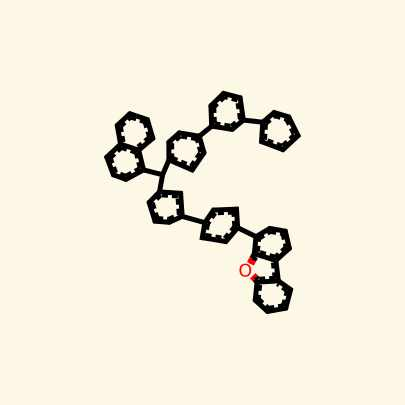 c1ccc(-c2cccc(-c3ccc(C(c4cccc(-c5ccc(-c6cccc7c6oc6ccccc67)cc5)c4)c4cccc5ccccc45)cc3)c2)cc1